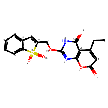 CCc1cc(=O)oc2nc(OCC3=Cc4ccccc4S3(=O)=O)[nH]c(=O)c12